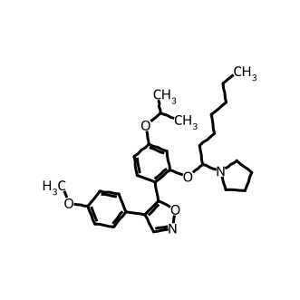 CCCCCCC(Oc1cc(OC(C)C)ccc1-c1oncc1-c1ccc(OC)cc1)N1CCCC1